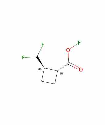 O=C(OF)[C@@H]1CC[C@H]1C(F)F